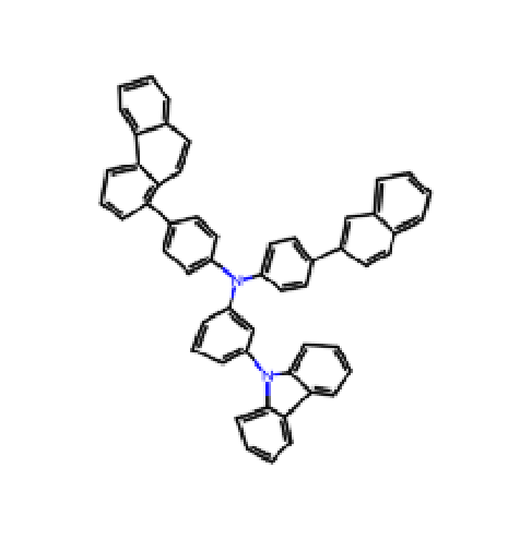 c1cc(N(c2ccc(-c3ccc4ccccc4c3)cc2)c2ccc(-c3cccc4c3ccc3ccccc34)cc2)cc(-n2c3ccccc3c3ccccc32)c1